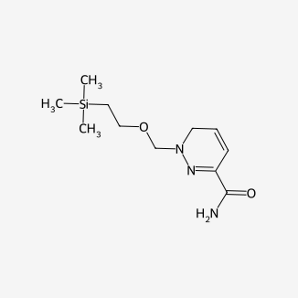 C[Si](C)(C)CCOCN1CC=CC(C(N)=O)=N1